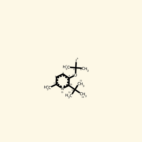 Cc1ccc(OC(C)(C)I)c(C(C)(C)C)n1